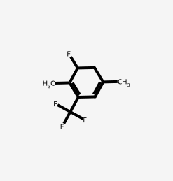 CC1=CC(C(F)(F)F)=C(C)C(F)C1